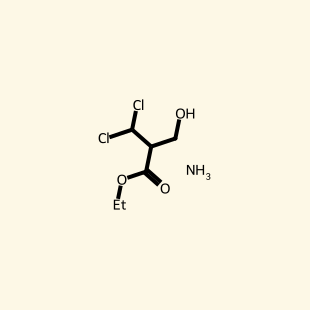 CCOC(=O)C(CO)C(Cl)Cl.N